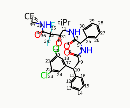 CC(C)[C@H](NC(=O)[C@@H](NC(=O)C[C@@H](c1ccccc1)c1cc(Cl)cc(Cl)c1)c1ccccc1)C(=O)C(F)(F)C(=O)NCC(F)(F)F